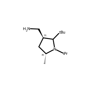 CC(C)N1C(C(C)(C)C)[C@H](CN)C[C@H]1C